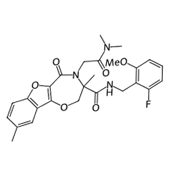 COc1cccc(F)c1CNC(=O)C1(C)COc2c(oc3ccc(C)cc23)C(=O)N1CC(=O)N(C)C